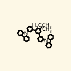 CC(C)(C)c1cc(-c2cccc(-n3c4ccccc4c4ccccc43)c2)cc(-c2cccc(-n3c4ccccc4c4ccccc43)c2)c1